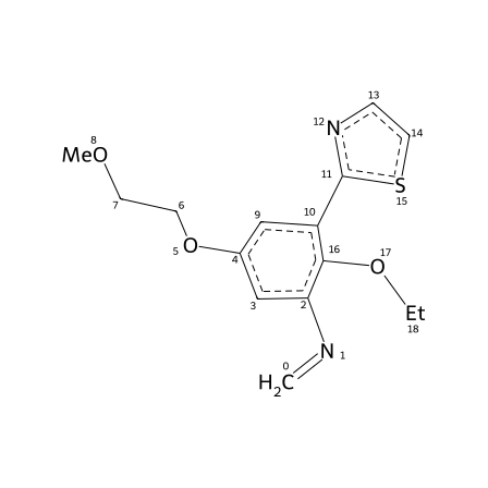 C=Nc1cc(OCCOC)cc(-c2nccs2)c1OCC